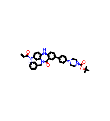 C=CC(=O)Nc1ccc2c(c1)N(Cc1ccccc1)C(=O)c1cc(-c3ccc(N4CCN(C(=O)OC(C)(C)C)CC4)cc3)ccc1N2